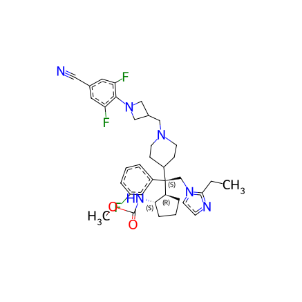 CCc1nccn1C[C@@](c1cccc(F)c1)(C1CCN(CC2CN(c3c(F)cc(C#N)cc3F)C2)CC1)[C@H]1CCC[C@@H]1NC(=O)OC